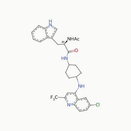 CC(=O)N[C@H](Cc1c[nH]c2ccccc12)C(=O)NC1CCC(Nc2cc(C(F)(F)F)nc3ccc(Cl)cc23)CC1